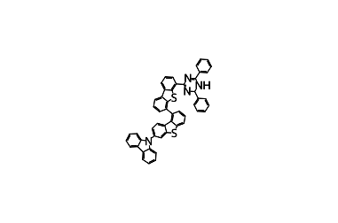 c1ccc(C2=NC(c3cccc4c3sc3c(-c5cccc6sc7cc(-n8c9ccccc9c9ccccc98)ccc7c56)cccc34)=NC(c3ccccc3)N2)cc1